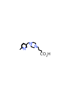 Cc1ccc(CN2CCN(CCCC(=O)O)CC2)cn1